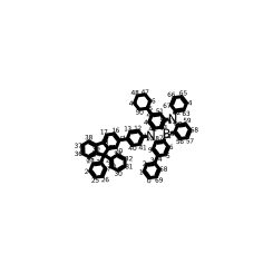 c1ccc(-c2ccc3c(c2)N(c2ccc(-c4ccc5c(c4)C(c4ccccc4)(c4ccccc4)c4ccccc4-5)cc2)c2cc(C4CCCCC4)cc4c2B3c2ccccc2N4c2ccccc2)cc1